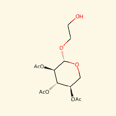 CC(=O)O[C@@H]1[C@@H](OC(C)=O)[C@H](OCCO)OC[C@H]1OC(C)=O